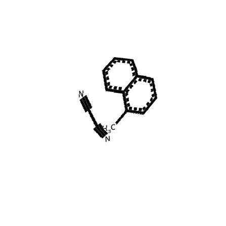 Cc1cccc2ccccc12.N#CC#N